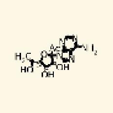 C=C(O)[C@H]1O[C@@](C(C)=O)(n2cnc3c(N)ncnc32)[C@H](O)[C@@H]1O